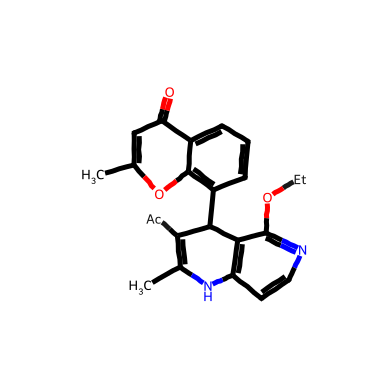 CCOc1nccc2c1C(c1cccc3c(=O)cc(C)oc13)C(C(C)=O)=C(C)N2